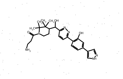 CC1(C)C(C(O)c2ccc(-c3ccc(-c4cn[nH]c4)cc3O)nn2)CCN(C(=O)CCN)C1(C)C